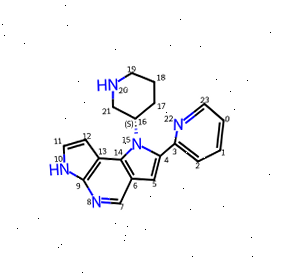 c1ccc(-c2cc3cnc4[nH]ccc4c3n2[C@H]2CCCNC2)nc1